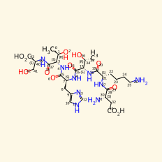 C[C@@H](O)[C@H](NC(=O)[C@H](Cc1c[nH]cn1)NC(=O)[C@@H](NC(=O)[C@H](CCCCN)NC(=O)[C@@H](N)CC(=O)O)[C@@H](C)O)C(=O)N[C@@H](CO)C(=O)O